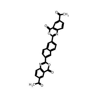 CC(=O)c1ccc2nc(-c3ccc4cc(-c5nc6ccc(C(C)=O)cc6c(=O)o5)ccc4c3)oc(=O)c2c1